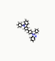 c1ccc(-c2nc3ccccc3n2-c2ccc(-c3ccc4c(c3)c3ccccc3n4-c3ccccc3)cc2)cc1